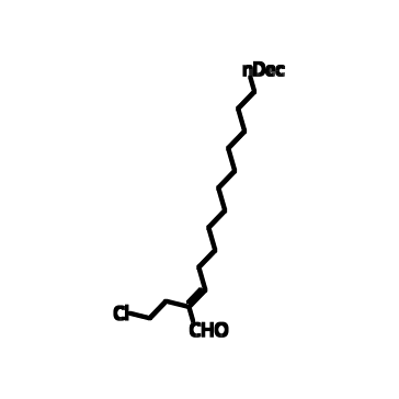 CCCCCCCCCCCCCCCCCCCCC=C(C=O)CCCl